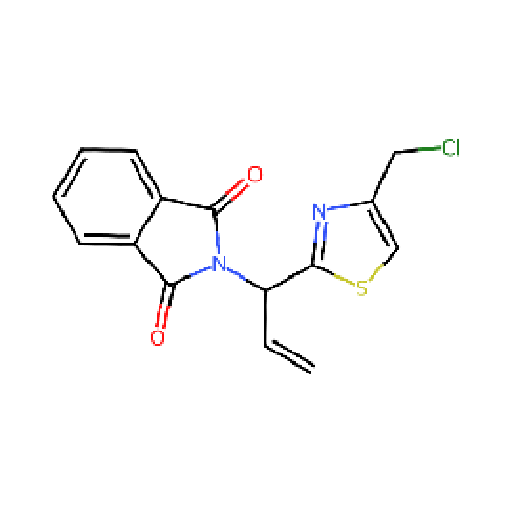 C=CC(c1nc(CCl)cs1)N1C(=O)c2ccccc2C1=O